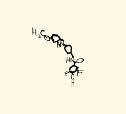 COc1ccc2cn(C3CCC(CNC(=O)c4cc(F)c(O)c(F)c4)CC3)nc2c1